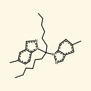 CCCCCCC(CCCCCC)(n1ncc2cc(C)ccc21)n1ncc2cc(C)ccc21